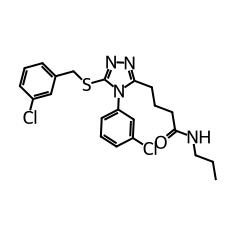 CCCNC(=O)CCCc1nnc(SCc2cccc(Cl)c2)n1-c1cccc(Cl)c1